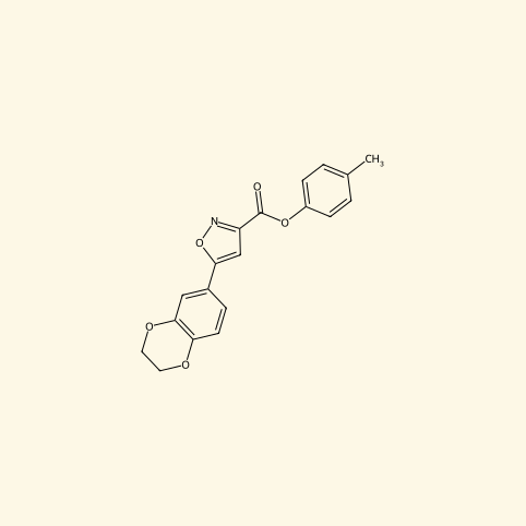 Cc1ccc(OC(=O)c2cc(-c3ccc4c(c3)OCCO4)on2)cc1